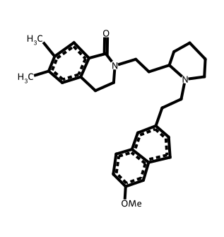 COc1ccc2cc(CCN3CCCCC3CCN3CCc4cc(C)c(C)cc4C3=O)ccc2c1